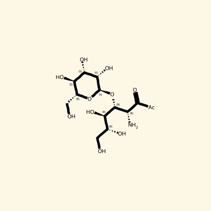 CC(=O)C(=O)[C@H](N)[C@@H](O[C@H]1O[C@H](CO)[C@@H](O)[C@H](O)[C@@H]1O)[C@H](O)[C@H](O)CO